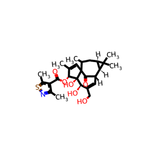 CC1=CC23C(=O)[C@@H](C=C(CO)[C@@H](O)[C@]2(O)[C@H]1OC(=O)c1c(C)nsc1C)[C@H]1[C@@H](CC3C)C1(C)C